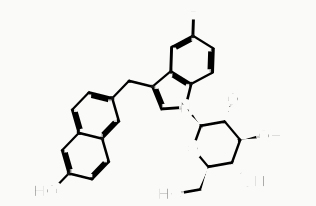 OC[C@H]1O[C@@H](n2cc(Cc3ccc4cc(O)ccc4c3)c3cc(F)ccc32)[C@H](O)[C@@H](O)[C@@H]1O